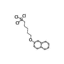 Cl[Si](Cl)(Cl)CCCCCOc1ccc2ccccc2c1